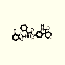 O=C(Nc1ccc2c(c1)NC(=O)C21CCOCC1)C(Nc1nc2c(F)cccc2o1)C1CCCCC1